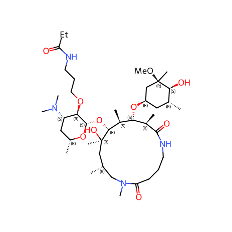 CCC(=O)NCCCO[C@H]1[C@H](O[C@@H]2[C@@H](C)[C@H](O[C@@H]3C[C@@H](C)[C@H](O)[C@](C)(OC)C3)[C@@H](C)C(=O)NCCCC(=O)N(C)C[C@H](C)C[C@@]2(C)O)O[C@H](C)C[C@@H]1N(C)C